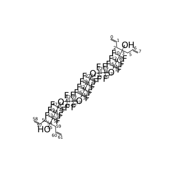 C=CCC(O)(CC=C)C(F)(F)C(F)(F)C(F)(F)OC(F)(F)C(F)(F)OC(F)(F)C(F)(F)C(F)(F)C(F)(F)OC(F)(F)C(F)(F)OC(F)(F)C(F)(F)C(F)(F)C(O)(CC=C)CC=C